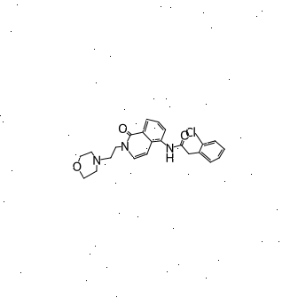 O=C(Cc1ccccc1Cl)Nc1cccc2c(=O)n(CCN3CCOCC3)ccc12